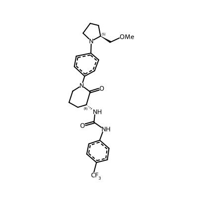 COC[C@@H]1CCCN1c1ccc(N2CCC[C@@H](NC(=O)Nc3ccc(C(F)(F)F)cc3)C2=O)cc1